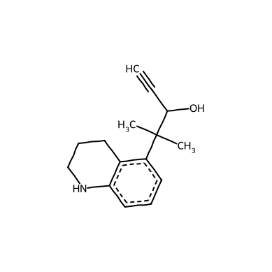 C#CC(O)C(C)(C)c1cccc2c1CCCN2